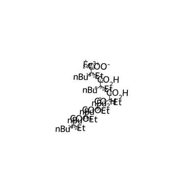 CCCCC(CC)C(=O)O.CCCCC(CC)C(=O)O.CCCCC(CC)C(=O)O.CCCCC(CC)C(=O)[O-].CCCCC(CC)C(=O)[O-].CCCCC(CC)C(=O)[O-].[Fe+3]